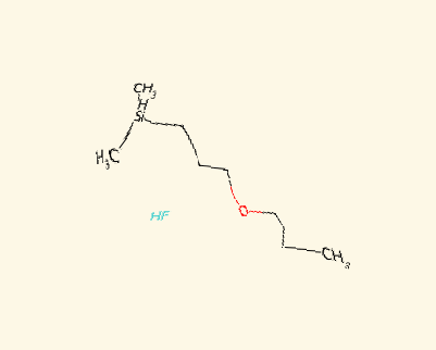 CCCOCCC[SiH](C)C.F